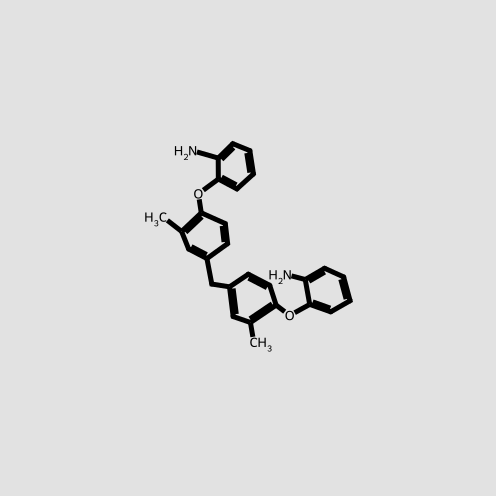 Cc1cc(Cc2ccc(Oc3ccccc3N)c(C)c2)ccc1Oc1ccccc1N